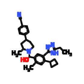 CCc1nnc(-c2cc(C(O)N3CCC(c4ccc(C#N)cc4)CC3C)c(C)cc2C2CCC2)[nH]1